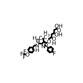 CC(C)c1c(C(=O)NCc2ccc(OC(F)(F)F)cc2)nn(-c2ccc(F)cc2)c1OC[C@@H](O)C[C@@H](O)CC(=O)O